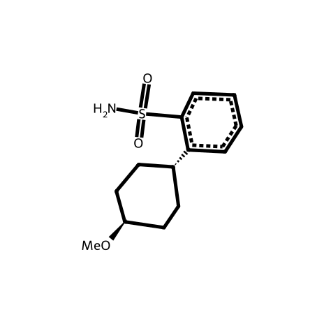 CO[C@H]1CC[C@H](c2ccccc2S(N)(=O)=O)CC1